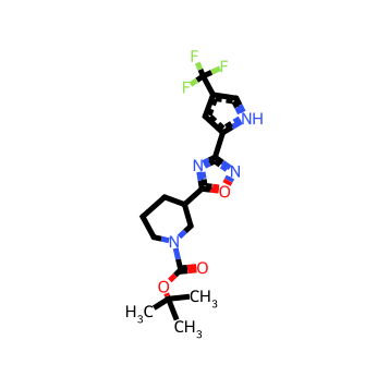 CC(C)(C)OC(=O)N1CCCC(c2nc(-c3cc(C(F)(F)F)c[nH]3)no2)C1